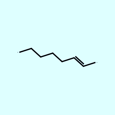 [CH2]/C=C/CCCC[CH2]